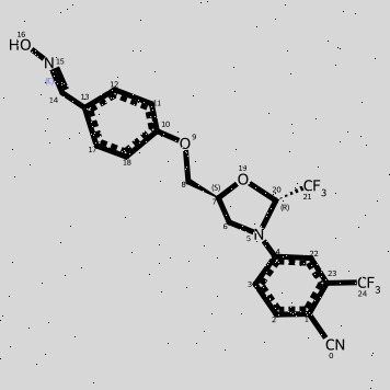 N#Cc1ccc(N2C[C@@H](COc3ccc(/C=N/O)cc3)O[C@@H]2C(F)(F)F)cc1C(F)(F)F